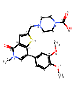 COc1ccc(-c2cn(C)c(=O)c3cc(CN4CCN(C(=O)O)CC4)sc23)cc1OC